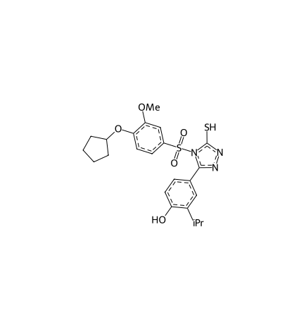 COc1cc(S(=O)(=O)n2c(S)nnc2-c2ccc(O)c(C(C)C)c2)ccc1OC1CCCC1